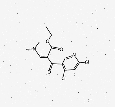 CCOC(=O)C(=CN(C)C)C(=O)c1cnc(Cl)cc1Cl